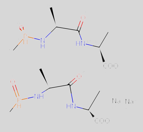 C[C@H](NC(=O)[C@H](C)N[PH](C)=O)C(=O)[O-].C[C@H](NC(=O)[C@H](C)N[PH](C)=O)C(=O)[O-].[Na+].[Na+]